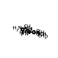 C[C@@H](Nc1ccnc2cc(C3=CCN(C(=O)OC(C)(C)C)CC3)nn12)c1cc(N)cc(C(F)(F)F)c1